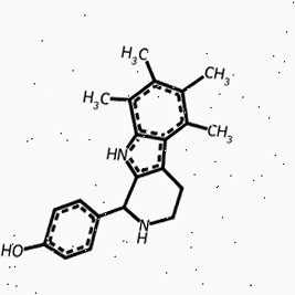 Cc1c(C)c(C)c2c3c([nH]c2c1C)C(c1ccc(O)cc1)NCC3